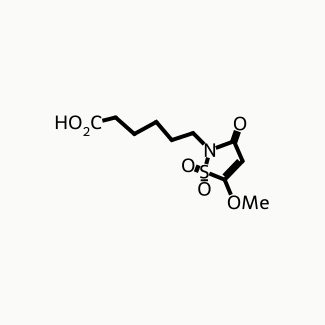 COC1=CC(=O)N(CCCCCC(=O)O)S1(=O)=O